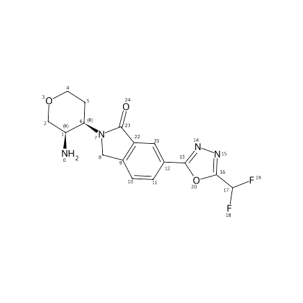 N[C@H]1COCC[C@H]1N1Cc2ccc(-c3nnc(C(F)F)o3)cc2C1=O